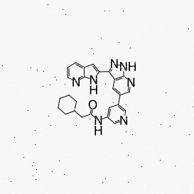 O=C(CC1CCCCC1)Nc1cncc(-c2cnc3[nH]nc(-c4cc5cccnc5[nH]4)c3c2)c1